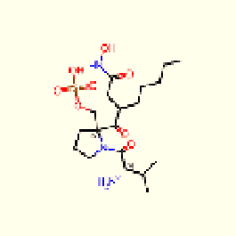 CCCCCC(CC(=O)NO)C(=O)[C@@]1(COS(=O)(=O)O)CCCN1C(=O)[C@@H](N)C(C)C